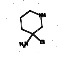 CCC1(N)CCCNC1